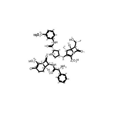 C[C@@H](O)[C@H]1C(=O)N2C(C(=O)O)=C(S[C@@H]3CN[C@H](C(=O)Nc4cccc(C(=O)O)c4)C3)[C@H](C)[C@H]12.N[C@@H](C(=O)N[C@@H]1C(=O)N2C(C(=O)O)=C(Cl)CC[C@H]12)c1ccccc1.O